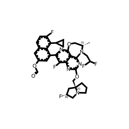 C[C@H]1COc2nc(-c3cc(OC=O)cc4ccc(F)c(C5CC5)c34)c(F)c3nc(OC[C@@]45CCCN4C[C@H](F)C5)nc(c23)N1CC(F)F